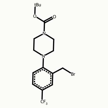 CC(C)(C)OC(=O)N1CCN(c2ccc(C(F)(F)F)cc2CBr)CC1